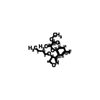 CCCCOC1CON=C1c1cc(F)ccc1OC(C)C(=O)OC